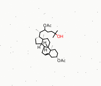 CC(=O)OC(CCC(C)(C)O)[C@@H](C)[C@H]1CC[C@H]2[C@@H]3CC=C4C[C@@H](OC(C)=O)CC[C@]4(C)[C@H]3CC[C@]12C